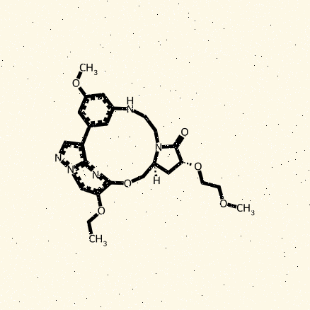 CCOc1cn2ncc3c2nc1OC[C@@H]1C[C@@H](OCCOC)C(=O)N1CCNc1cc(OC)cc-3c1